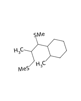 CSCC(C)C(SC)C1CCCCC1C